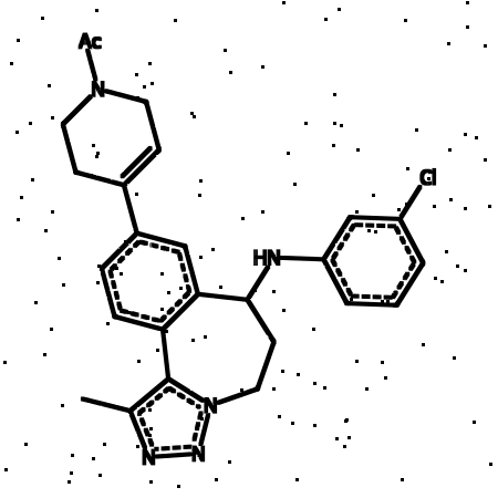 CC(=O)N1CC=C(c2ccc3c(c2)C(Nc2cccc(Cl)c2)CCn2nnc(C)c2-3)CC1